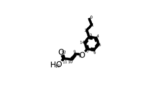 CCCc1cccc(OC=CC(=O)O)c1